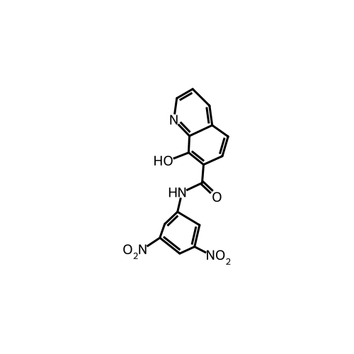 O=C(Nc1cc([N+](=O)[O-])cc([N+](=O)[O-])c1)c1ccc2cccnc2c1O